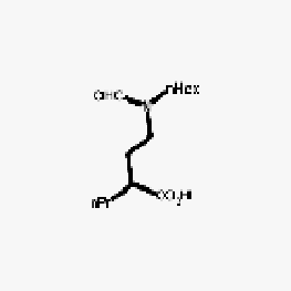 CCCCCCN(C=O)CCC(CCC)C(=O)O